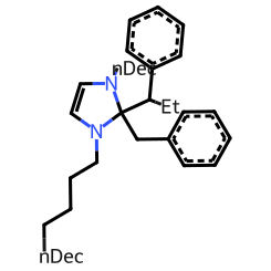 CCCCCCCCCCCCCCN1C=CN(CCCCCCCCCC)C1(Cc1ccccc1)C(CC)c1ccccc1